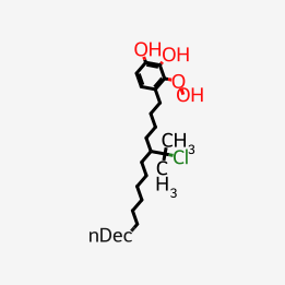 CCCCCCCCCCCCCCCCC(CCCCc1ccc(O)c(O)c1OO)C(C)(C)Cl